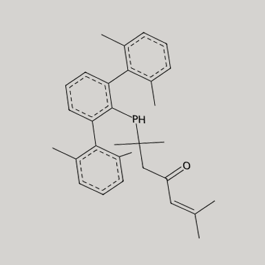 CC(C)=CC(=O)CC(C)(C)Pc1c(-c2c(C)cccc2C)cccc1-c1c(C)cccc1C